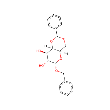 O[C@@H]1[C@@H](O)[C@@H](OCc2ccccc2)O[C@@H]2COC(c3ccccc3)O[C@H]12